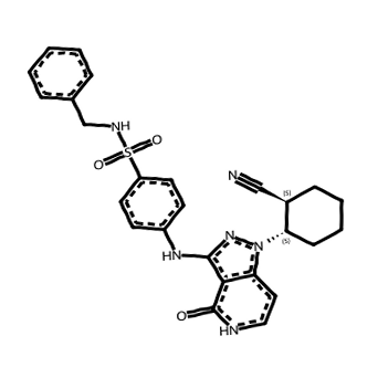 N#C[C@H]1CCCC[C@@H]1n1nc(Nc2ccc(S(=O)(=O)NCc3ccccc3)cc2)c2c(=O)[nH]ccc21